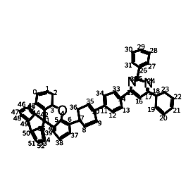 C1=CCC2Oc3c(C4C=CC(c5ccc(-c6cc(C7C=CC=CC7)nc(-c7ccccc7)n6)cc5)=CC4)cccc3C3(C2=C1)c1ccccc1-c1ccccc13